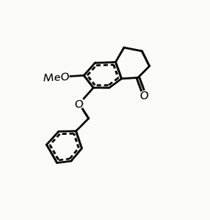 COc1cc2c(cc1OCc1ccccc1)C(=O)CCC2